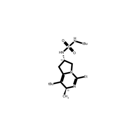 CCC1=N[C@@H](C)C(C(C)(C)C)=C2C[C@H](NS(=O)(=O)NC(C)(C)C)CN12